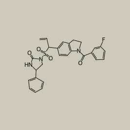 C=CC(c1ccc2c(c1)CCN2C(=O)c1cccc(F)c1)S(=O)(=O)N1CC(c2ccccc2)NC1=O